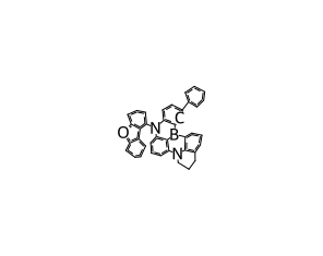 c1ccc(-c2ccc3c(c2)B2c4cccc5c4N(CCC5)c4cccc(c42)N3c2cccc3oc4ccccc4c23)cc1